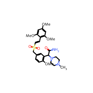 COc1cc(OC)c(C=CS(=O)(=O)Cc2ccc(OC)c(C(C(N)=O)N3CCN(C)CC3)c2)c(OC)c1